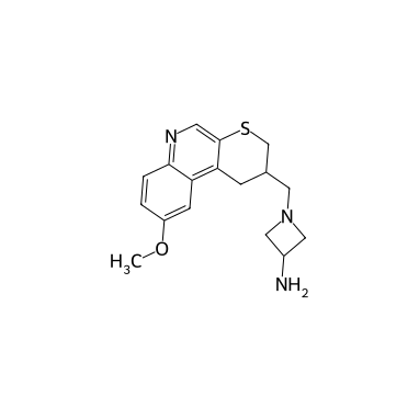 COc1ccc2ncc3c(c2c1)CC(CN1CC(N)C1)CS3